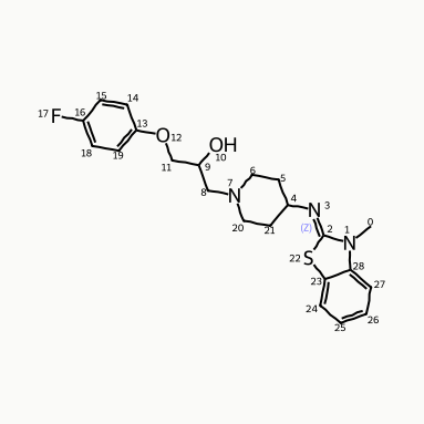 Cn1/c(=N/C2CCN(CC(O)COc3ccc(F)cc3)CC2)sc2ccccc21